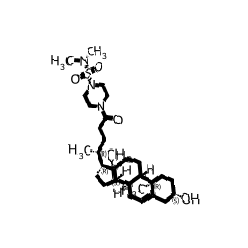 C[C@H](CCC(=O)N1CCN(S(=O)(=O)N(C)C)CC1)[C@H]1CC[C@H]2[C@@H]3CC=C4C[C@@H](O)CC[C@]4(C)[C@H]3CC[C@]12C